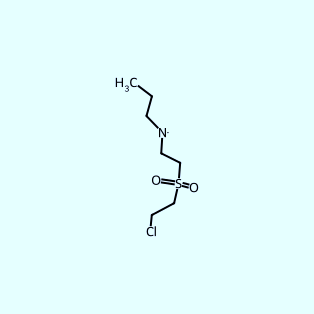 CCC[N]CCS(=O)(=O)CCCl